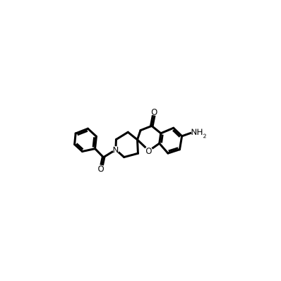 Nc1ccc2c(c1)C(=O)CC1(CCN(C(=O)c3ccccc3)CC1)O2